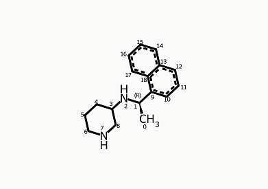 C[C@@H](NC1CCCNC1)c1cccc2ccccc12